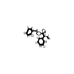 CC[C@H](C(=O)OCc1ccccc1)C1CCCCC1